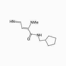 CN/C(=C\C=N)C(=O)NCC1CCCC1